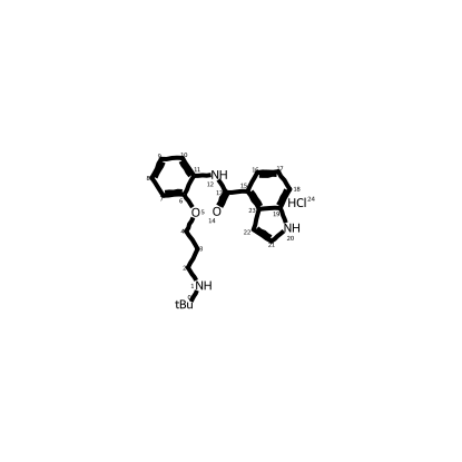 CC(C)(C)NCCCOc1ccccc1NC(=O)c1cccc2[nH]ccc12.Cl